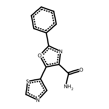 NC(=O)c1nc(-c2ccccc2)oc1-c1cncs1